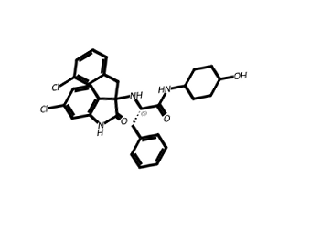 O=C(NC1CCC(O)CC1)[C@H](Cc1ccccc1)NC1(Cc2cccc(Cl)c2)C(=O)Nc2cc(Cl)ccc21